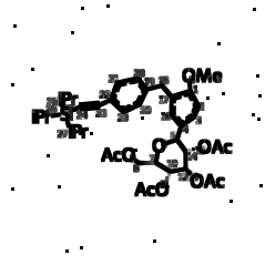 COc1ccc(C2O[C@H](COC(C)=O)[C@@H](OC(C)=O)[C@H](OC(C)=O)[C@H]2OC(C)=O)cc1Cc1ccc(C#C[Si](C(C)C)(C(C)C)C(C)C)cc1